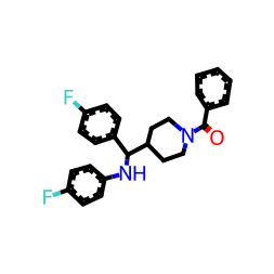 O=C(c1ccccc1)N1CCC(C(Nc2ccc(F)cc2)c2ccc(F)cc2)CC1